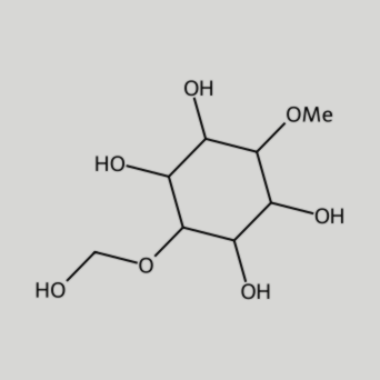 COC1C(O)C(O)C(OCO)C(O)C1O